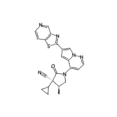 C[C@@H]1CN(c2ccnn3cc(-c4nc5cnccc5s4)cc23)C(=O)[C@]1(C#N)C1CC1